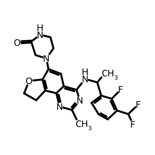 Cc1nc(NC(C)c2cccc(C(F)F)c2F)c2cc(N3CCNC(=O)C3)c3c(c2n1)CCO3